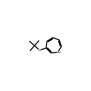 CC(C)(C)OC1=CNC=CC=C1